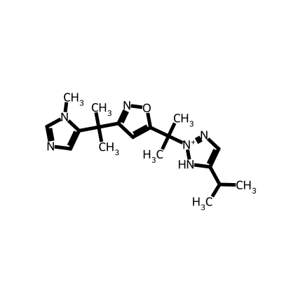 CC(C)c1cn[n+](C(C)(C)c2cc(C(C)(C)c3cncn3C)no2)[nH]1